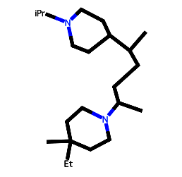 CCC1(C)CCN(C(C)CCC(C)C2CCN(C(C)C)CC2)CC1